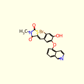 CN1C(=O)S/C(=C\c2cc(Oc3cccc4cnccc34)c(O)cc2Br)C1=O